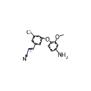 COc1cc(N)ccc1Oc1cc(Cl)cc(/C=C/C#N)c1